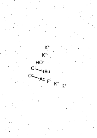 CC(=O)[O-].CC(C)(C)[O-].[F-].[K+].[K+].[K+].[K+].[OH-]